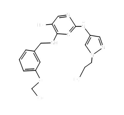 CCOc1cccc(CNc2nc(Nc3cnn(CCO)c3)ncc2C)c1